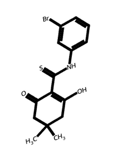 CC1(C)CC(=O)C(C(=S)Nc2cccc(Br)c2)=C(O)C1